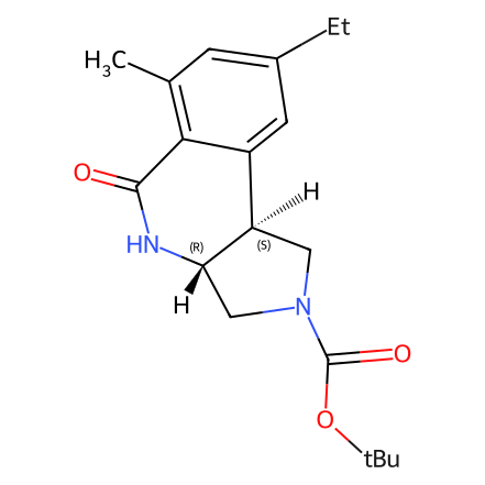 CCc1cc(C)c2c(c1)[C@H]1CN(C(=O)OC(C)(C)C)C[C@@H]1NC2=O